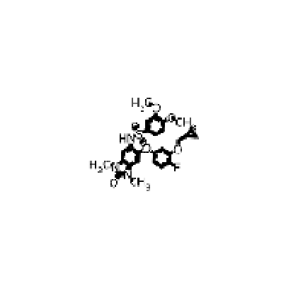 COc1ccc(S(=O)(=O)Nc2cc3c(cc2Oc2ccc(F)c(OCC4CC4)c2)n(C)c(=O)n3C)cc1OC